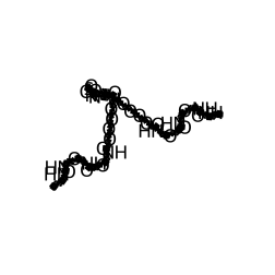 CC(C)(C)CCC(C)(C)CNC(=O)NC(C)(C)CCOC(C)(C)CCNC(=O)C(C)(C)CCOC(C)(C)CCNC(=O)CCOCCOCCOCCOCCN(CCOCCOCCOCCOCCC(=O)NCCC(C)(C)OCCC(C)(C)C(=O)NCCC(C)(C)OCCC(C)(C)NC(=O)NCC(C)(C)CCC(C)(C)C)C(=O)c1ccc(-c2nnc(S(C)(=O)=O)o2)cc1